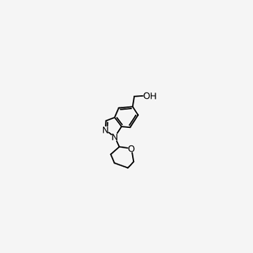 OCc1ccc2c(cnn2C2CCCCO2)c1